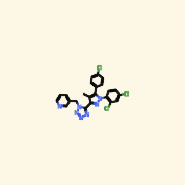 Cc1c(-c2nnnn2Cc2cccnc2)nn(-c2ccc(Cl)cc2Cl)c1-c1ccc(Cl)cc1